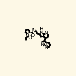 C=CC(=O)N1CCC[C@H]1C(=O)N(C)CCc1cc2c(-c3cnn4ncccc34)ccnc2[nH]1